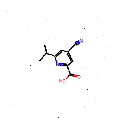 CC(C)c1cc(C#N)cc(C(=O)O)n1